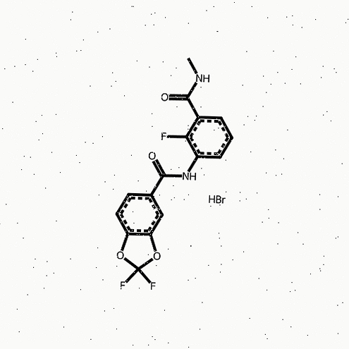 Br.CNC(=O)c1cccc(NC(=O)c2ccc3c(c2)OC(F)(F)O3)c1F